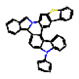 c1ccc(-n2c3ccccc3c3c4c5cc6c(cc5n5cc7ccccc7c5c4ccc32)sc2ccccc26)cc1